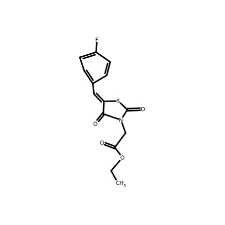 CCOC(=O)CN1C(=O)S/C(=C\c2ccc(F)cc2)C1=O